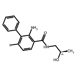 C[C@@H](O)CNC(=O)c1ccc(I)c(-c2ccccc2)c1N